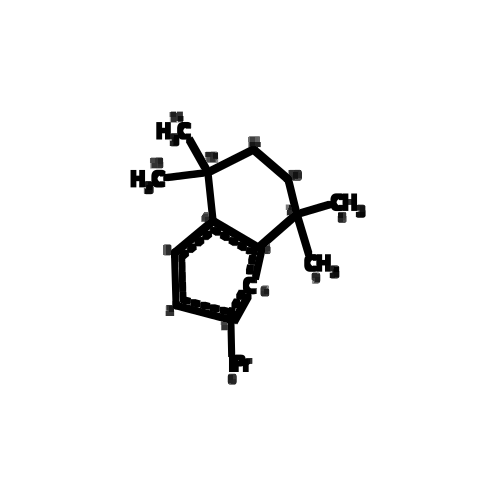 CC(C)c1ccc2c(c1)C(C)(C)CCC2(C)C